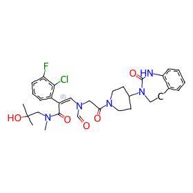 CN(CC(C)(C)O)C(=O)/C(=C\N(C=O)CC(=O)N1CCC(N2CCc3ccccc3NC2=O)CC1)c1cccc(F)c1Cl